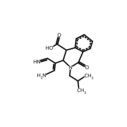 CC(C)CN1C(=O)c2ccccc2C(C(=O)O)C1/C(C=N)=C/N